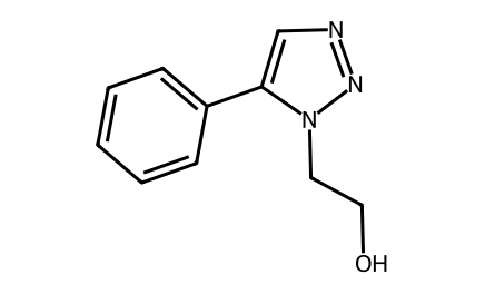 OCCn1nncc1-c1ccccc1